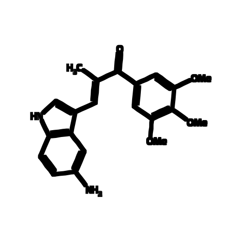 COc1cc(C(=O)/C(C)=C/c2c[nH]c3ccc(N)cc23)cc(OC)c1OC